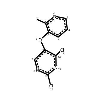 Cc1ncccc1Oc1cnc(Cl)nc1Cl